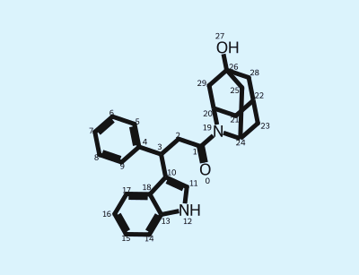 O=C(CC(c1ccccc1)c1c[nH]c2ccccc12)N1C2CC3CC1CC(O)(C3)C2